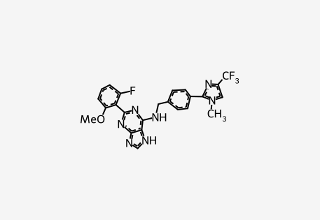 COc1cccc(F)c1-c1nc(NCc2ccc(-c3nc(C(F)(F)F)cn3C)cc2)c2[nH]cnc2n1